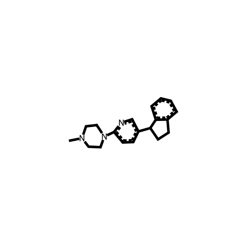 CN1CCN(c2ccc(C3CCc4ccccc43)cn2)CC1